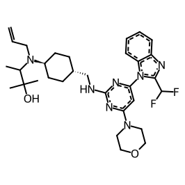 C=CCN(C(C)C(C)(C)O)[C@H]1CC[C@H](CNc2nc(N3CCOCC3)cc(-n3c(C(F)F)nc4ccccc43)n2)CC1